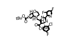 COC(=O)C1=C(CN2CCO[C@@H]3CN(C(=O)OC(C)(C)C)C[C@@H]32)NC(c2ncc(F)cc2F)=N[C@@H]1c1ccc(F)cc1Cl